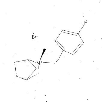 C[N@@+]1(Cc2ccc(F)cc2)CC2CCC1C2.[Br-]